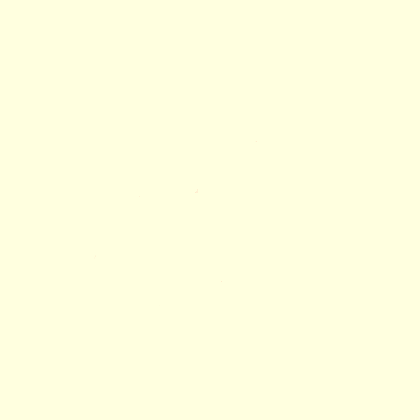 CCCCc1ccc(C)cc1C